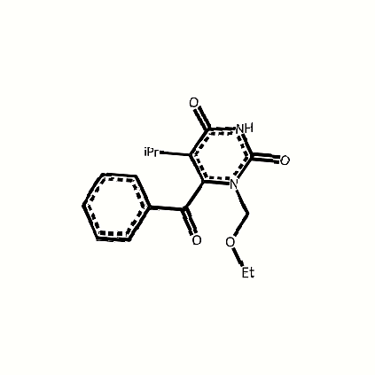 CCOCn1c(C(=O)c2ccccc2)c(C(C)C)c(=O)[nH]c1=O